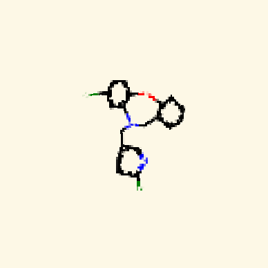 Clc1ccc2c(c1)N(Cc1ccc(Br)nc1)Cc1ccccc1O2